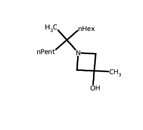 CCCCCCC(C)(CCCCC)N1CC(C)(O)C1